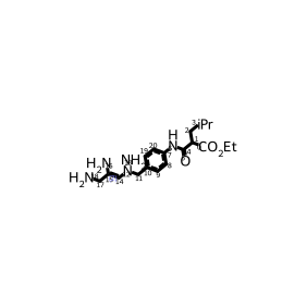 CCOC(=O)C(CC(C)C)C(=O)Nc1ccc(CN(N)/C=C(\N)CN)cc1